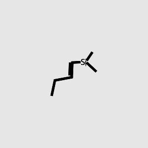 CCC=C[Si](C)C